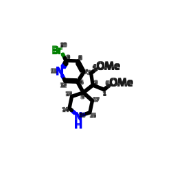 COCC(COC)C1(c2ccc(Br)nc2)CCNCC1